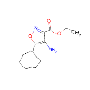 CCOC(=O)c1noc(C2CCCCC2)c1N